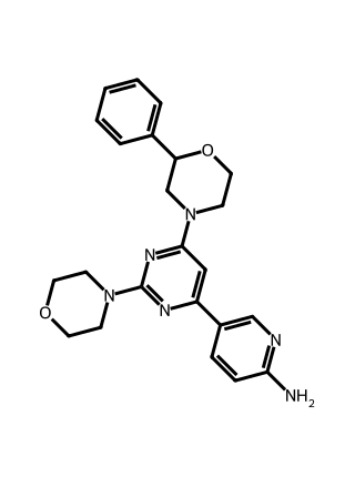 Nc1ccc(-c2cc(N3CCOC(c4ccccc4)C3)nc(N3CCOCC3)n2)cn1